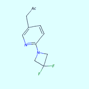 CC(=O)Cc1ccc(N2CC(F)(F)C2)nc1